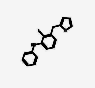 Ic1c(Cc2ccco2)cccc1Nc1ccccc1